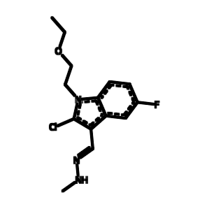 CCOCCn1c(Cl)c(/C=N/NC)c2cc(F)ccc21